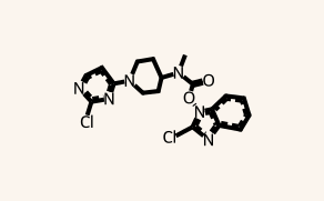 CN(C(=O)On1c(Cl)nc2ccccc21)C1CCN(c2ccnc(Cl)n2)CC1